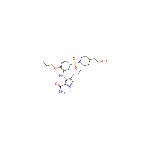 CCCOc1ccc(S(=O)(=O)N2CCC(CCO)CC2)cc1Nc1c(CCC)cn(C)c1C(N)=O